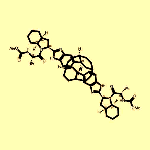 COC(=O)N[C@H](C(=O)N1[C@H](c2nc3cc([C@@H]4C[C@H]5CCC4CCC4CC[C@H](CC5)[C@H](c5ccc6[nH]c([C@@H]7C[C@@H]8CCCC[C@@H]8N7C(=O)[C@@H](NC(=O)OC)C(C)C)nc6c5)C4)ccc3[nH]2)C[C@@H]2CCCC[C@@H]21)C(C)C